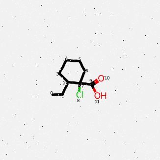 CCC1CCCCC1(Cl)C(=O)O